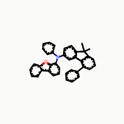 CC1(C)c2ccc(N(c3ccccc3)c3cccc4c3oc3ccccc34)cc2-c2c(-c3ccccc3)cccc21